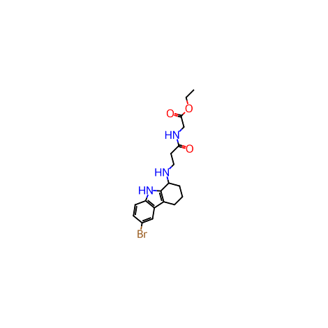 CCOC(=O)CNC(=O)CCNC1CCCc2c1[nH]c1ccc(Br)cc21